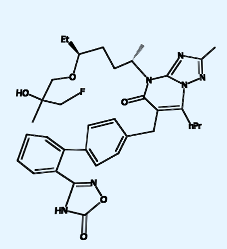 CCCc1c(Cc2ccc(-c3ccccc3-c3noc(=O)[nH]3)cc2)c(=O)n([C@@H](C)CC[C@H](CC)OCC(C)(O)CF)c2nc(C)nn12